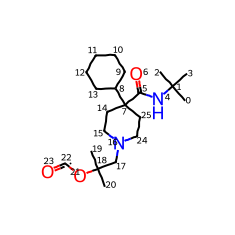 CC(C)(C)NC(=O)C1(C2CCCCC2)CCN(CC(C)(C)O[C]=O)CC1